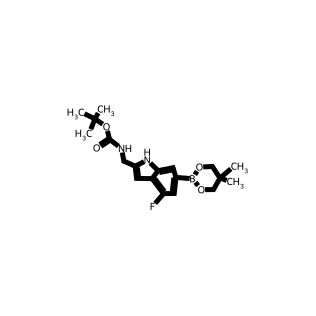 CC1(C)COB(c2cc(F)c3cc(CNC(=O)OC(C)(C)C)[nH]c3c2)OC1